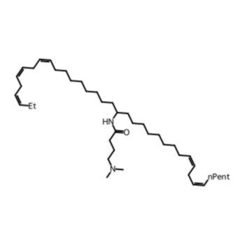 CC/C=C\C/C=C\C/C=C\CCCCCCCCC(CCCCCCCC/C=C\C/C=C\CCCCC)NC(=O)CCCN(C)C